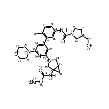 Cc1ccc(NC(=O)N2CC[C@@H](CC(F)(F)F)C2)cc1-c1cc(N2CCOCC2)nc(N2CC3CC3(NC(=O)OC(C)(C)C)C2)c1